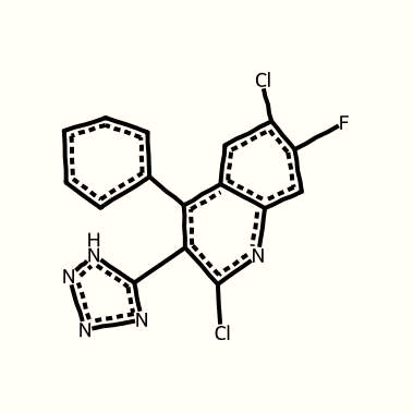 Fc1cc2nc(Cl)c(-c3nnn[nH]3)c(-c3ccccc3)c2cc1Cl